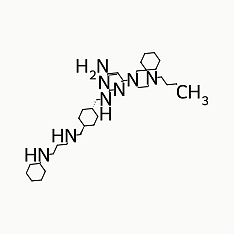 CCCCN1CCN(c2cc(N)nc(NC[C@H]3CC[C@H](CNCCCNC4CCCCC4)CC3)n2)CC12CCCCC2